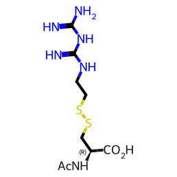 CC(=O)N[C@@H](CSSCCNC(=N)NC(=N)N)C(=O)O